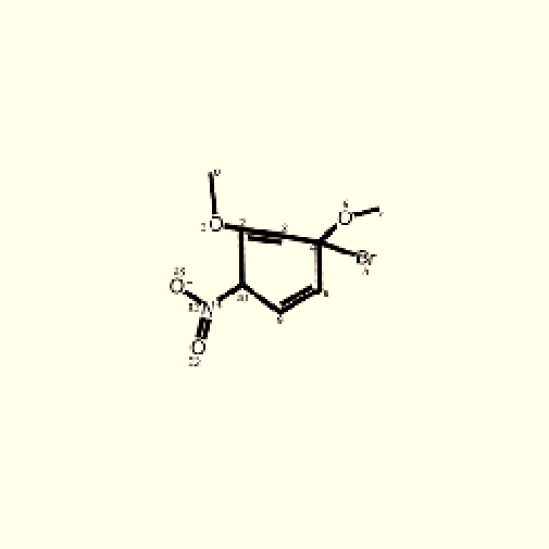 COC1=CC(Br)(OC)C=CC1[N+](=O)[O-]